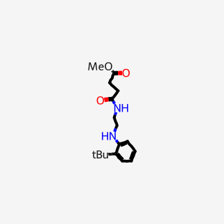 COC(=O)CCC(=O)NCCNc1ccccc1C(C)(C)C